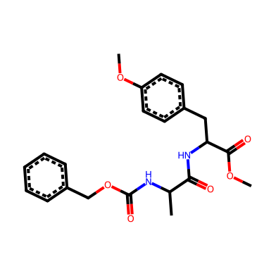 COC(=O)C(Cc1ccc(OC)cc1)NC(=O)C(C)NC(=O)OCc1ccccc1